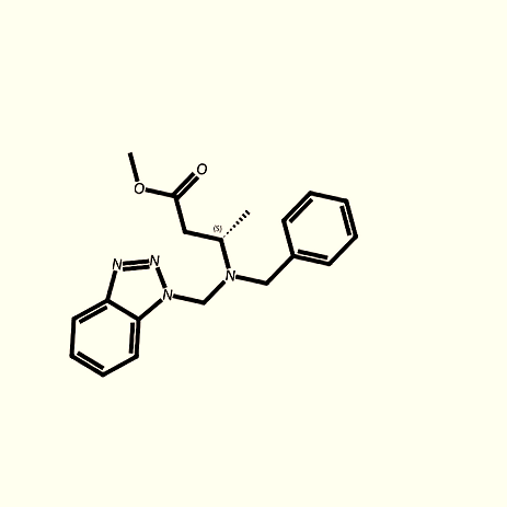 COC(=O)C[C@H](C)N(Cc1ccccc1)Cn1nnc2ccccc21